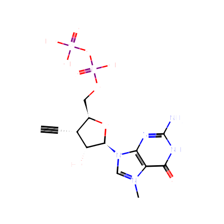 C#C[C@H]1[C@@H](O)[C@H](n2c[n+](C)c3c(=O)[nH]c(N)nc32)O[C@@H]1COP(=O)(O)OP(=O)(O)O